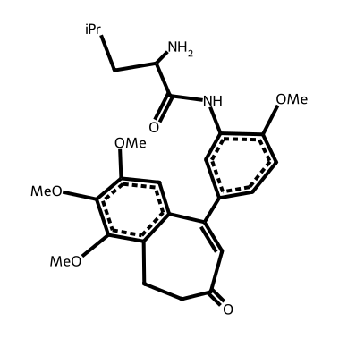 COc1ccc(C2=CC(=O)CCc3c2cc(OC)c(OC)c3OC)cc1NC(=O)C(N)CC(C)C